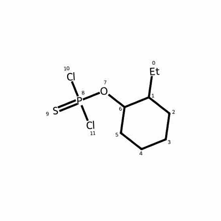 CCC1CCCCC1OP(=S)(Cl)Cl